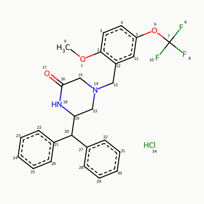 COc1ccc(OC(F)(F)F)cc1CN1CC(=O)NC(C(c2ccccc2)c2ccccc2)C1.Cl